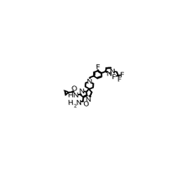 N#CCC1(C2C=C(C(N)=O)C(NC(=O)C3CC3)=N2)CCN(Cc2ccc(-c3ccn(CC(F)(F)F)n3)c(F)c2)CC1